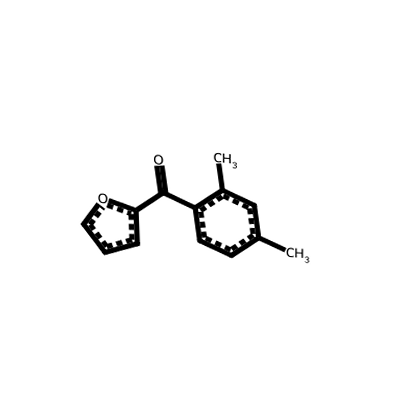 Cc1ccc(C(=O)c2ccco2)c(C)c1